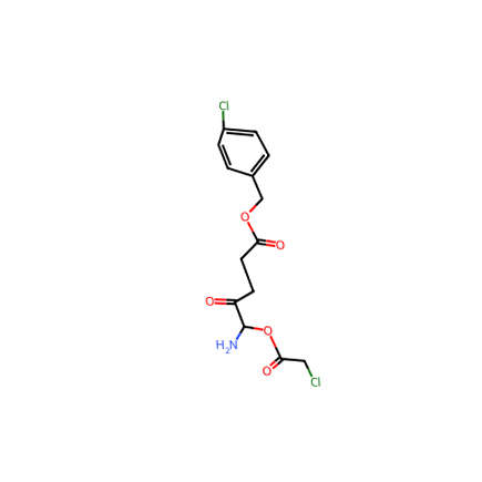 NC(OC(=O)CCl)C(=O)CCC(=O)OCc1ccc(Cl)cc1